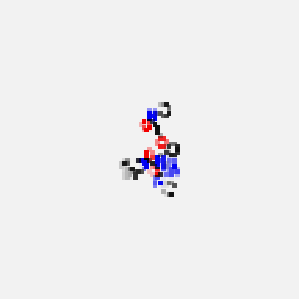 CC(C)CN(CC(C)C)C(=O)CN1Cc2c(cccc2OCCCC(=O)N(C)C2CCCCC2)N=C1NC(=O)N(C)C1CCCCC1